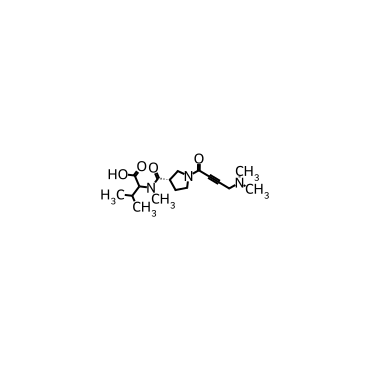 CC(C)C(C(=O)O)N(C)C(=O)[C@H]1CCN(C(=O)C#CCN(C)C)C1